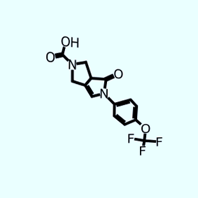 O=C(O)N1CC2=CN(c3ccc(OC(F)(F)F)cc3)C(=O)C2C1